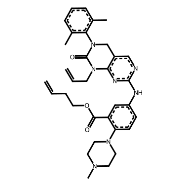 C=CCCOC(=O)c1cc(Nc2ncc3c(n2)N(CC=C)C(=O)N(c2c(C)cccc2C)C3)ccc1N1CCN(C)CC1